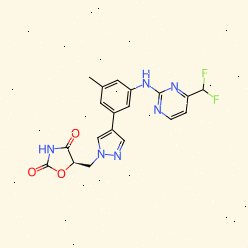 Cc1cc(Nc2nccc(C(F)F)n2)cc(-c2cnn(C[C@H]3OC(=O)NC3=O)c2)c1